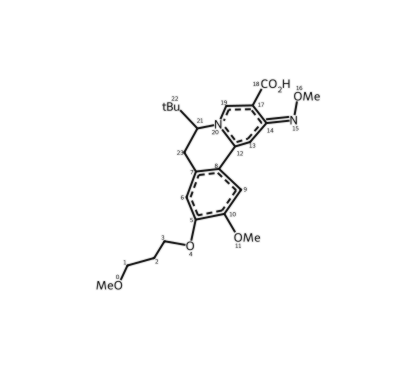 COCCCOc1cc2c(cc1OC)-c1c/c(=N/OC)c(C(=O)O)cn1C(C(C)(C)C)C2